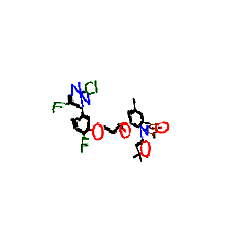 Cc1cc(CS(C)(=O)=NC2=CC(C)(C)O2)cc(OCCCOc2cc(-c3nc(Cl)ncc3F)ccc2F)c1